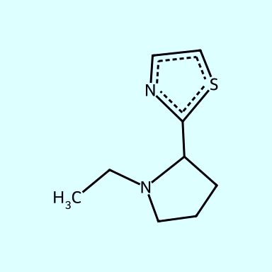 CCN1CCCC1c1nccs1